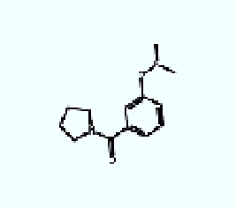 CN(C)Sc1cccc(C(=O)N2CCCC2)c1